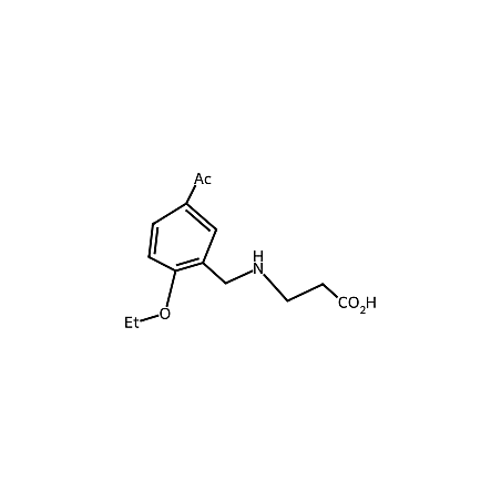 CCOc1ccc(C(C)=O)cc1CNCCC(=O)O